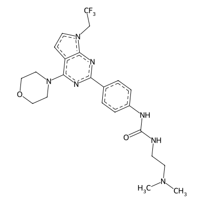 CN(C)CCNC(=O)Nc1ccc(-c2nc(N3CCOCC3)c3ccn(CC(F)(F)F)c3n2)cc1